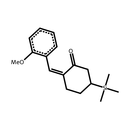 COc1ccccc1C=C1CCC([Si](C)(C)C)CC1=O